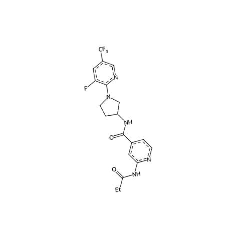 CCC(=O)Nc1cc(C(=O)NC2CCN(c3ncc(C(F)(F)F)cc3F)C2)ccn1